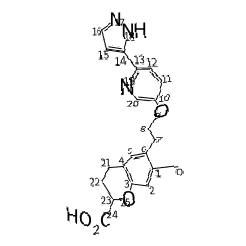 Cc1cc2c(cc1CCOc1ccc(-c3ccn[nH]3)nc1)CCC(C(=O)O)O2